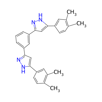 Cc1ccc(-c2cc(-c3cccc(-c4cc(-c5ccc(C)c(C)c5)[nH]n4)c3)n[nH]2)cc1C